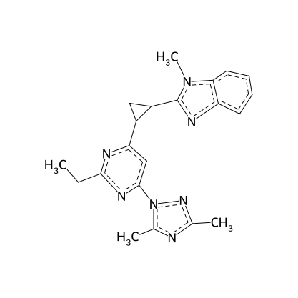 CCc1nc(C2CC2c2nc3ccccc3n2C)cc(-n2nc(C)nc2C)n1